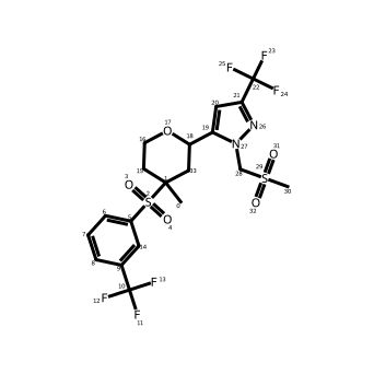 CC1(S(=O)(=O)c2cccc(C(F)(F)F)c2)CCOC(c2cc(C(F)(F)F)nn2CS(C)(=O)=O)C1